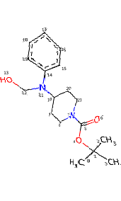 CC(C)(C)OC(=O)N1CCC(N(CO)c2ccccc2)CC1